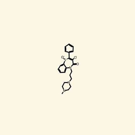 CN1CCN(CCCN2C(=O)C(Cl)=C(c3ccccc3)[S+]([O-])c3ccccc32)CC1